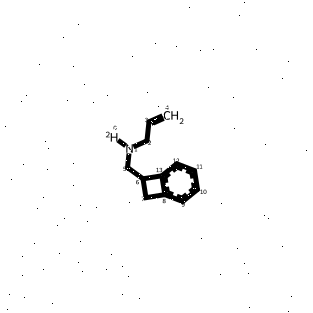 [2H]N(CC=C)CC1Cc2ccccc21